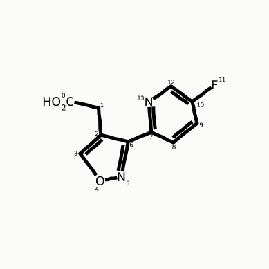 O=C(O)Cc1conc1-c1ccc(F)cn1